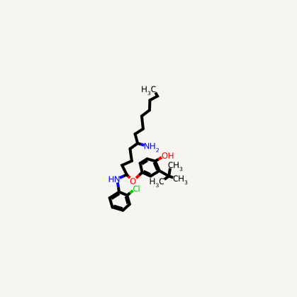 CCCCCCCC(N)CCCC(Nc1ccccc1Cl)Oc1ccc(O)c(C(C)(C)C)c1